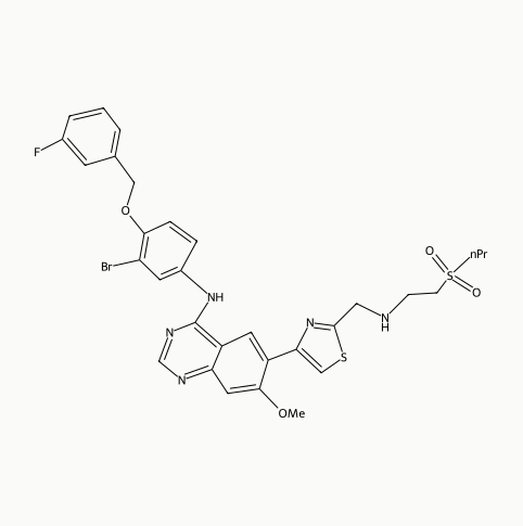 CCCS(=O)(=O)CCNCc1nc(-c2cc3c(Nc4ccc(OCc5cccc(F)c5)c(Br)c4)ncnc3cc2OC)cs1